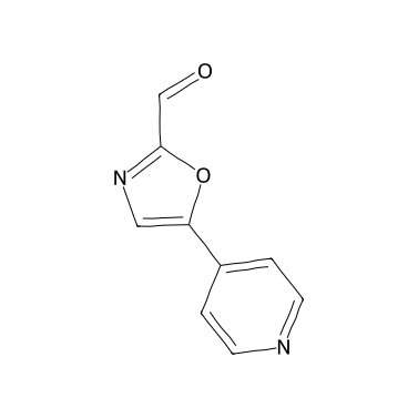 O=Cc1ncc(-c2ccncc2)o1